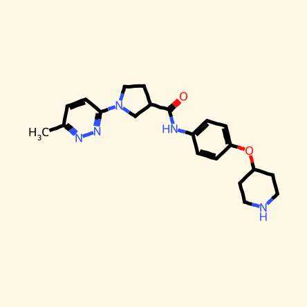 Cc1ccc(N2CCC(C(=O)Nc3ccc(OC4CCNCC4)cc3)C2)nn1